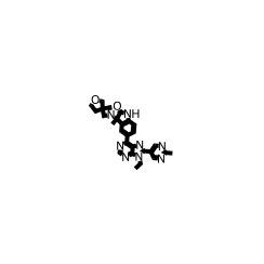 CCn1c(-c2cnc(C)nc2)nc2c(-c3ccc4c(c3)C(C)(N3CC5(CCOC5)C3)C(=O)N4)ncnc21